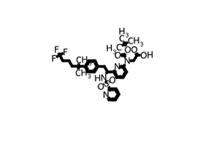 CC(C)(C)OC(=O)N(CC(=O)O)c1cccc(C(Cc2ccc(C(C)(C)CCCC(F)(F)F)cc2)NS(=O)(=O)c2ccccn2)n1